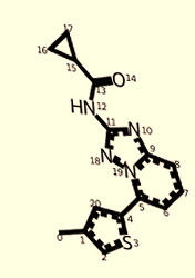 Cc1csc(-c2cccc3nc(NC(=O)C4CC4)nn23)c1